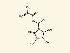 C=C(C)C(=O)OC(C)N1C(=O)N(C)C(O)C1O